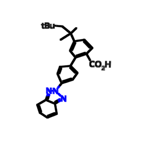 CC(C)(C)CC(C)(C)c1ccc(C(=O)O)c(-c2ccc(-n3nc4ccccc4n3)cc2)c1